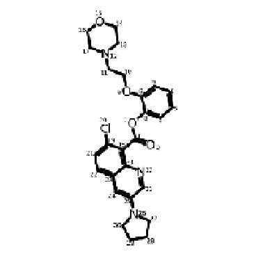 O=C(Oc1ccccc1OCCN1CCOCC1)c1c(Cl)ccc2cc(N3CCCC3)cnc12